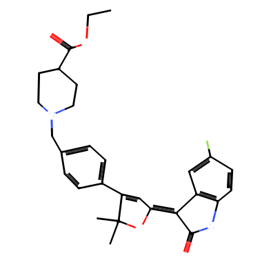 CCOC(=O)C1CCN(Cc2ccc(C3=CC(=C4C(=O)Nc5ccc(F)cc54)OC3(C)C)cc2)CC1